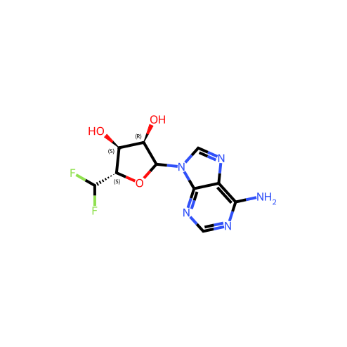 Nc1ncnc2c1ncn2C1O[C@H](C(F)F)[C@@H](O)[C@H]1O